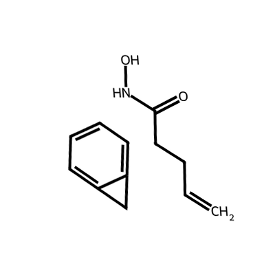 C=CCCC(=O)NO.c1ccc2c(c1)C2